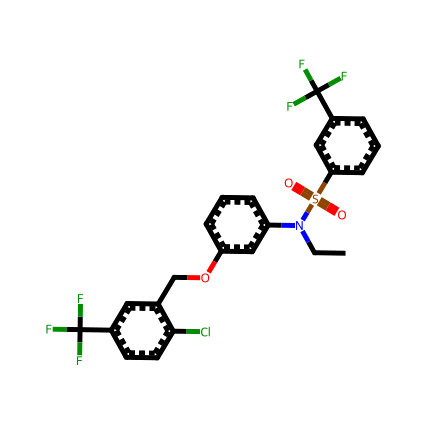 CCN(c1cccc(OCc2cc(C(F)(F)F)ccc2Cl)c1)S(=O)(=O)c1cccc(C(F)(F)F)c1